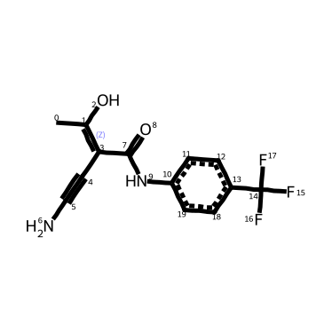 C/C(O)=C(\C#CN)C(=O)Nc1ccc(C(F)(F)F)cc1